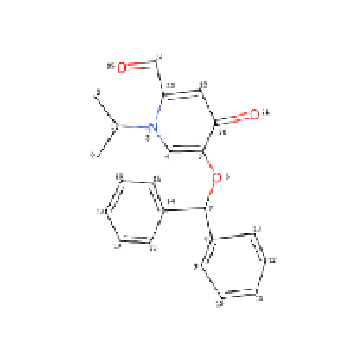 CC(C)n1cc(OC(c2ccccc2)c2ccccc2)c(=O)cc1C=O